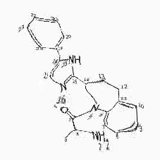 CC(N)C(=O)N1c2ccccc2CCC1c1ncc(-c2ccccc2)[nH]1